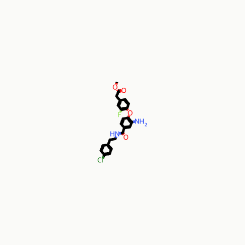 COC(=O)Cc1ccc(Oc2ccc(C(=O)NCCc3ccc(Cl)cc3)cc2N)c(F)c1